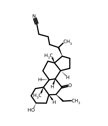 CC[C@@H]1C(=O)[C@@H]2[C@H](CC[C@]3(C)[C@@H](C(C)CCCC#N)CC[C@@H]23)[C@@]2(C)CC[C@@H](O)C[C@@H]12